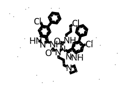 O=C(Nc1n[nH]c2cc(Cl)c(-c3ccccc3)cc12)N(CCCN1CCC1)N(C(=O)NCCCCl)c1n[nH]c2cc(Cl)c(-c3ccccc3)cc12